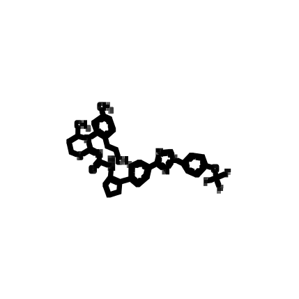 CCCc1ccc(C)cc1N1/C(=N/C(=O)NC2=C(c3ccc(-c4ncn(-c5ccc(OC(F)(F)F)cc5)n4)cc3)CCC2)SCCC1C